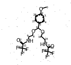 COc1ccc(C(OCCNC(=O)C(F)(F)F)OCCNC(=O)C(F)(F)F)cc1